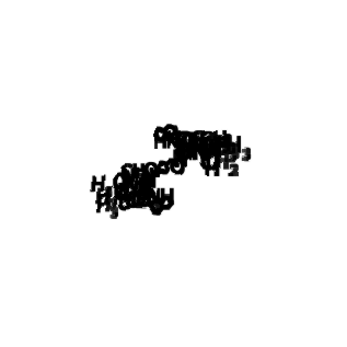 C=C(N[C@H](C(=O)N1CCN(C(=O)Cc2ccc(CC(=O)N3CCN(C(=O)[C@@H](NC(=O)[C@H](C)NC)C(C)(C)C)[C@H](C(=O)N[C@@H]4CCCc5ccccc54)C3)cc2)C[C@H]1C(=O)N[C@@H]1CCCc2ccccc21)C(C)(C)C)[C@H](C)NC